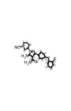 N#CN1CCC[C@@H](n2nc(-c3ccc(Cc4ccccc4F)cc3)c(C(N)=O)c2N)C1